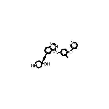 Cc1cc(Nc2ncnc3ccc(C#CC4(O)CCNCC4)cc23)ccc1Oc1cccnc1